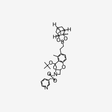 Cc1c(CCB2O[C@@H]3C[C@@H]4C[C@@H](C4(C)C)[C@]3(C)O2)ccc(OC2CN(S(=O)(=O)c3cccnc3)C2)c1C(=O)OC(C)(C)C